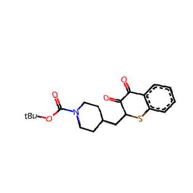 CC(C)(C)OC(=O)N1CCC(CC2Sc3ccccc3C(=O)C2=O)CC1